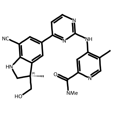 CNC(=O)c1cc(Nc2nccc(-c3cc(C#N)c4c(c3)[C@@](C)(CO)CN4)n2)c(C)cn1